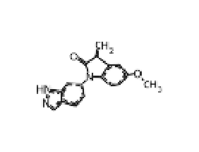 C=C1C(=O)N(c2ccc3cn[nH]c3c2)c2ccc(OC)cc21